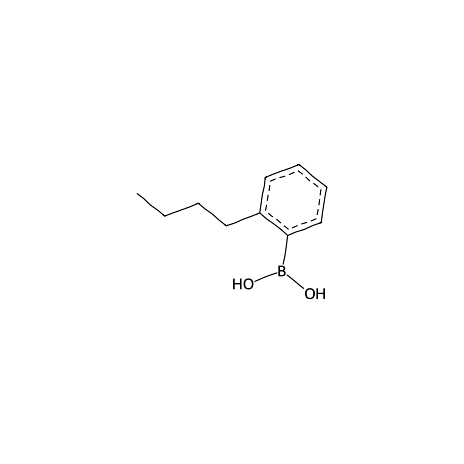 CCCCc1ccccc1B(O)O